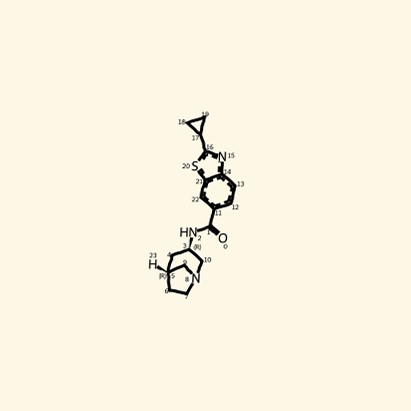 O=C(N[C@@H]1C[C@H]2CCN(C2)C1)c1ccc2nc(C3CC3)sc2c1